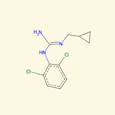 NC(=NCC1CC1)Nc1c(Cl)cccc1Cl